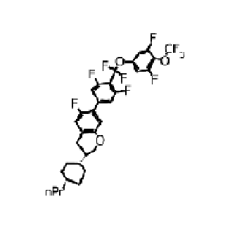 CCC[C@H]1CC[C@H](C2COc3cc(-c4cc(F)c(C(F)(F)Oc5cc(F)c(OC(F)(F)F)c(F)c5)c(F)c4)c(F)cc3C2)CC1